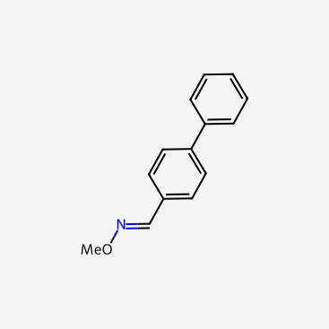 CON=Cc1ccc(-c2ccccc2)cc1